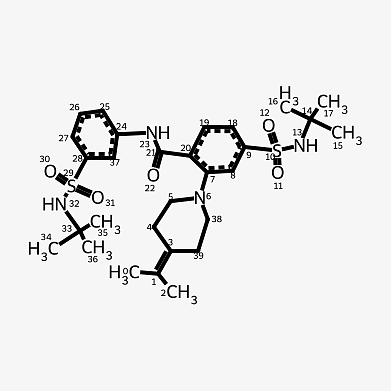 CC(C)=C1CCN(c2cc(S(=O)(=O)NC(C)(C)C)ccc2C(=O)Nc2cccc(S(=O)(=O)NC(C)(C)C)c2)CC1